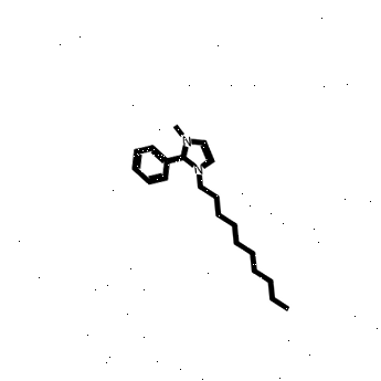 CCCCCCCCCCN1C=CN(C)C1c1ccccc1